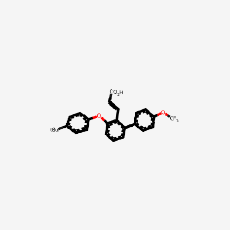 CC(C)(C)c1ccc(Oc2cccc(-c3ccc(OC(F)(F)F)cc3)c2/C=C/C(=O)O)cc1